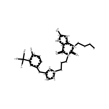 CCCCn1c(=O)n(CCCn2nnc(Cc3ccc(F)c(C(F)(F)F)c3)n2)c(=O)c2[nH]c(Cl)nc21